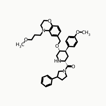 COCCCN1CCOc2ccc(CO[C@H]3CN[C@@H](C(=O)N4CCC(c5ccccc5)C4)C[C@@H]3c3ccc(OC)cc3)cc21